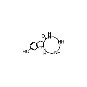 O=C1NCCNCCNCCNC(=O)C1Cc1ccc(O)cc1